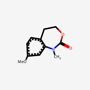 COc1ccc2c(c1)N(C)C(=O)OCC2